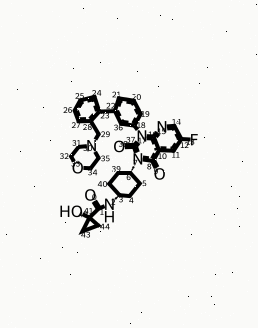 O=C(N[C@H]1CC[C@@H](n2c(=O)c3cc(F)cnc3n(-c3cccc(-c4ccccc4CN4CCOCC4)c3)c2=O)CC1)C1(O)CC1